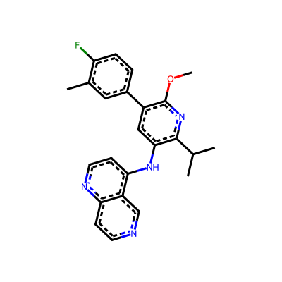 COc1nc(C(C)C)c(Nc2ccnc3ccncc23)cc1-c1ccc(F)c(C)c1